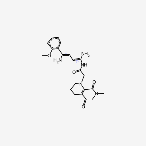 COc1ccccc1/C(N)=C/C=C(\N)NC(=O)CN1CCCC(C=O)=C1C(=O)N(C)C